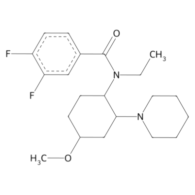 CCN(C(=O)c1ccc(F)c(F)c1)C1CCC(OC)CC1N1CCCCC1